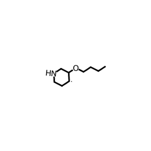 CCCCOC1[CH]CCNC1